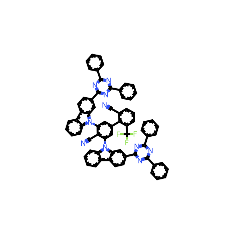 N#Cc1cccc(C(F)(F)F)c1-c1cc(-n2c3ccccc3c3ccc(-c4nc(-c5ccccc5)nc(-c5ccccc5)n4)cc32)c(C#N)c(-n2c3ccccc3c3ccc(-c4nc(-c5ccccc5)nc(-c5ccccc5)n4)cc32)c1